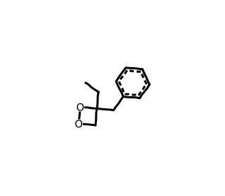 CCC1(Cc2ccccc2)COO1